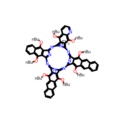 CCCCOc1c2c(c(OCCCC)c3ccccc13)-c1nc-2nc2[nH]c(nc3nc(nc4c5c(OCCCC)c6ncccc6c(OCCCC)c5c(n1)n4C)-c1c-3c(OCCCC)c3cc4ccccc4cc3c1OCCCC)c1c(OCCCC)c3cc4ccccc4cc3c(OCCCC)c21